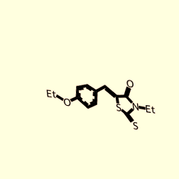 CCOc1ccc(/C=C2\SC(=S)N(CC)C2=O)cc1